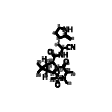 C=C1NCC[C@H]1C[C@@H](C#N)NC(=O)[C@@H]1[C@@H]2[C@H](CN1C(=O)C(C)N(C)S(C)(=O)=O)C2(C)C